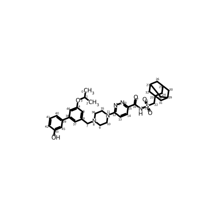 CC(C)Oc1cc(CN2CCN(c3ccc(C(=O)NS(=O)(=O)CC45CC6CC(CC(C6)C4)C5)nn3)CC2)cc(-c2cccc(O)c2)c1